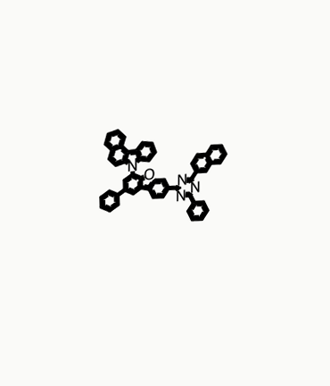 c1ccc(-c2cc(-n3c4ccccc4c4c5ccccc5ccc43)c3oc4cc(-c5nc(-c6ccccc6)nc(-c6ccc7ccccc7c6)n5)ccc4c3c2)cc1